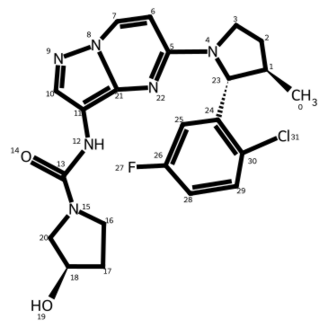 C[C@@H]1CCN(c2ccn3ncc(NC(=O)N4CC[C@@H](O)C4)c3n2)[C@H]1c1cc(F)ccc1Cl